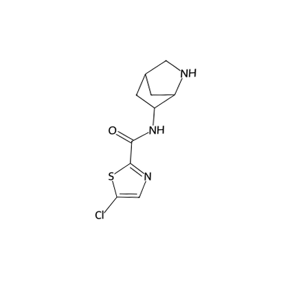 O=C(NC1CC2CNC1C2)c1ncc(Cl)s1